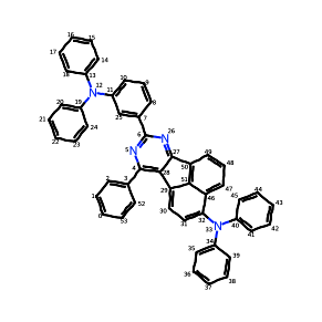 c1ccc(-c2nc(-c3cccc(N(c4ccccc4)c4ccccc4)c3)nc3c2-c2ccc(N(c4ccccc4)c4ccccc4)c4cccc-3c24)cc1